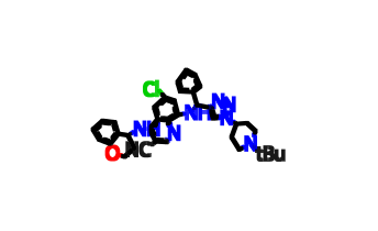 CC(C)(C)N1CCC(n2cc([C@@H](Nc3cc(Cl)cc4c(N[C@H]5CCOc6ccccc65)c(C#N)cnc34)c3ccccc3)nn2)CC1